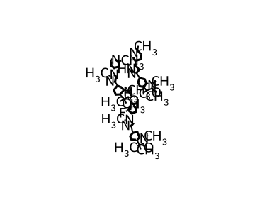 Cc1cc(-n2cc(-c3ccc4c(c3)N(C)C(=O)C4(C)C)nc2C)ccn1.Cc1ccc(-c2cc(-c3ccc4c(c3)N(C)C(=O)C4(C)C)n[nH]2)cn1.Cc1nc(-c2ccc3c(c2)N(C)C(=O)C3(C)C)cn1-c1ccncc1F